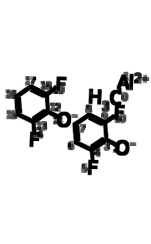 [CH3][Al+2].[O-]c1c(F)cccc1F.[O-]c1c(F)cccc1F